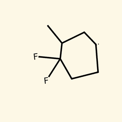 CC1C[CH]CCC1(F)F